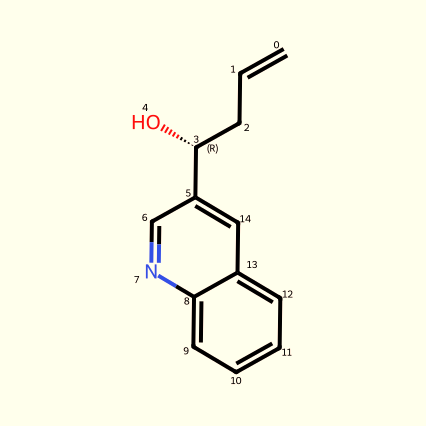 C=CC[C@@H](O)c1cnc2ccccc2c1